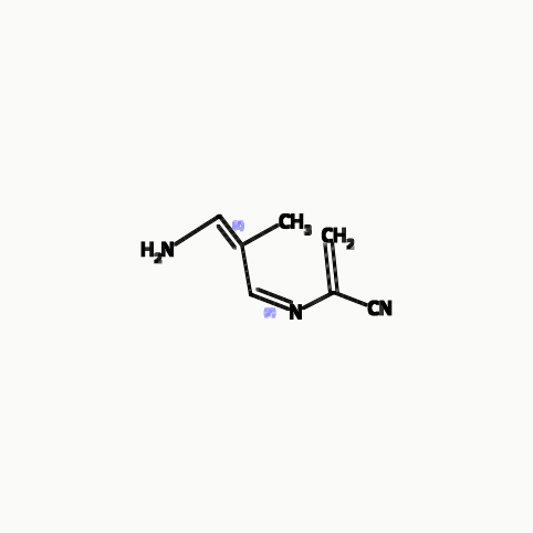 C=C(C#N)/N=C\C(C)=C/N